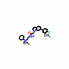 Cc1cc(-c2ccc3ccn(CC(=O)NCCN(C)C4CCCCC4)c3c2)ccc1F